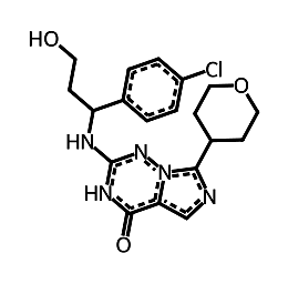 O=c1[nH]c(NC(CCO)c2ccc(Cl)cc2)nn2c(C3CCOCC3)ncc12